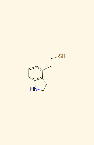 SCCc1cccc2c1CCN2